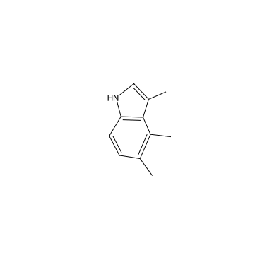 Cc1ccc2[nH]cc(C)c2c1C